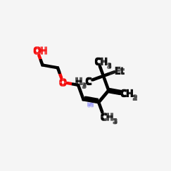 C=C(/C(C)=C\COCCO)C(C)(C)CC